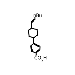 CCCCC=CC1CCC(c2ccc(C(=O)O)cc2)CC1